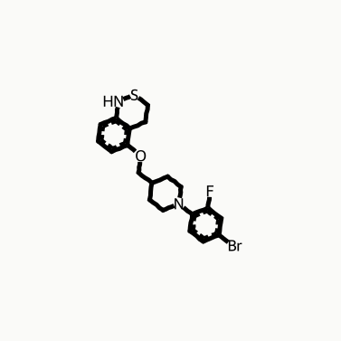 Fc1cc(Br)ccc1N1CCC(COc2cccc3c2CCSN3)CC1